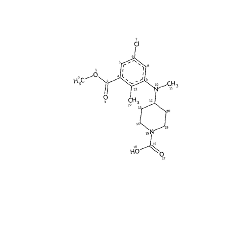 COC(=O)c1cc(Cl)cc(N(C)C2CCN(C(=O)O)CC2)c1C